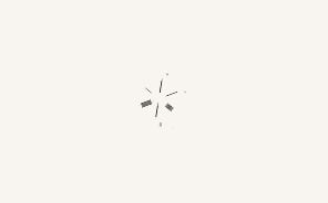 [O]=[Cr](=[O])([OH])([OH])([SiH3])[SiH3]